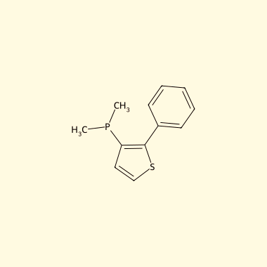 CP(C)c1ccsc1-c1ccccc1